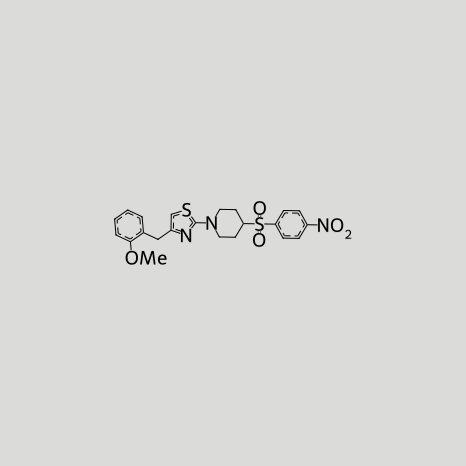 COc1ccccc1Cc1csc(N2CCC(S(=O)(=O)c3ccc([N+](=O)[O-])cc3)CC2)n1